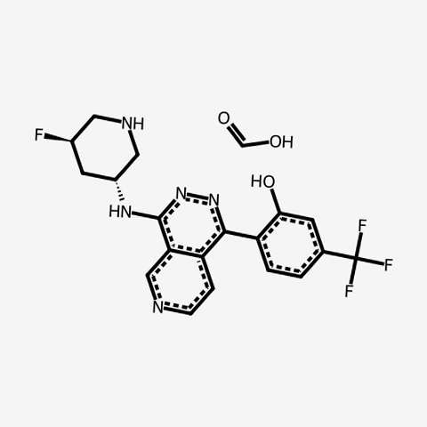 O=CO.Oc1cc(C(F)(F)F)ccc1-c1nnc(N[C@H]2CNC[C@H](F)C2)c2cnccc12